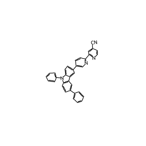 N#Cc1ccnc(-c2ccc(-c3ccc4c(c3)c3cc(-c5ccccc5)ccc3n4-c3ccccc3)cn2)c1